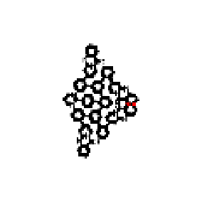 O=c1c2ccccc2nc2cc(-c3ccccc3-c3cc(-c4ccccc4-c4ccn5c(=O)c6ccccc6nc5c4)cc(-c4cccc(-c5cc(-c6ccccc6-c6ccn7c(=O)c8ccccc8nc7c6)cc(-c6ccccc6-c6ccn7c(=O)c8ccccc8nc7c6)c5)c4-c4ccc(-c5ncccn5)cc4)c3)ccn12